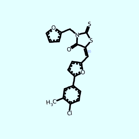 Cc1cc(-c2ccc(/C=C3/SC(=S)N(Cc4ccco4)C3=O)o2)ccc1Cl